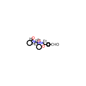 CCCC(CC)(C(=O)[C@@H]1CCCCCC[C@@H]1NC(CC)C(=O)c1ccc(C=O)cc1)N1C(=O)[C@@H]2CCCCCC[C@@H]21